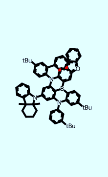 CC(C)(C)c1cccc(N2c3cc(C(C)(C)C)ccc3B3c4cc5oc6ccccc6c5cc4N(c4ccc(C(C)(C)C)cc4-c4ccccc4)c4cc(N5c6ccccc6C6(C)CCCCC56C)cc2c43)c1